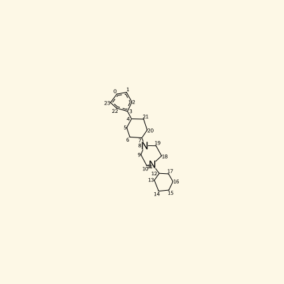 c1ccc(C2CCC(N3CCN(C4CCCCC4)CC3)CC2)cc1